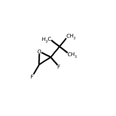 CC(C)(C)C1(F)OC1F